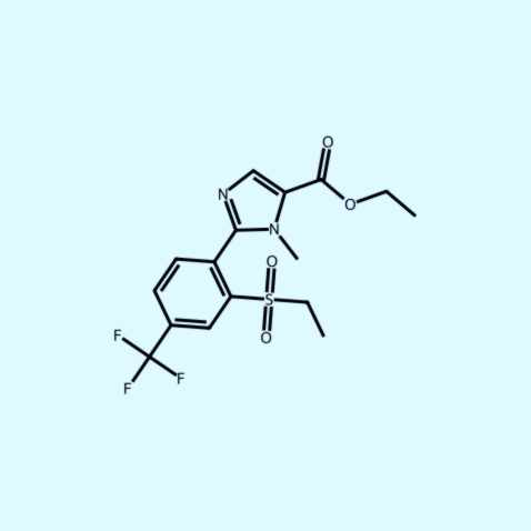 CCOC(=O)c1cnc(-c2ccc(C(F)(F)F)cc2S(=O)(=O)CC)n1C